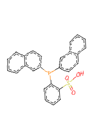 O=S(=O)(O)c1ccccc1P(c1ccc2ccccc2c1)c1ccc2ccccc2c1